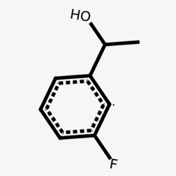 CC(O)c1[c]c(F)ccc1